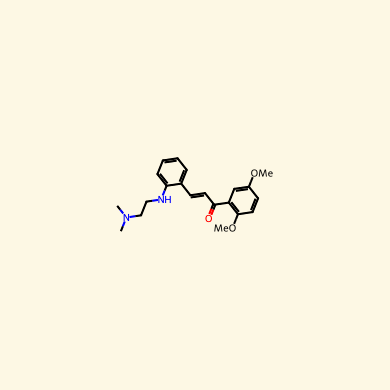 COc1ccc(OC)c(C(=O)/C=C/c2ccccc2NCCN(C)C)c1